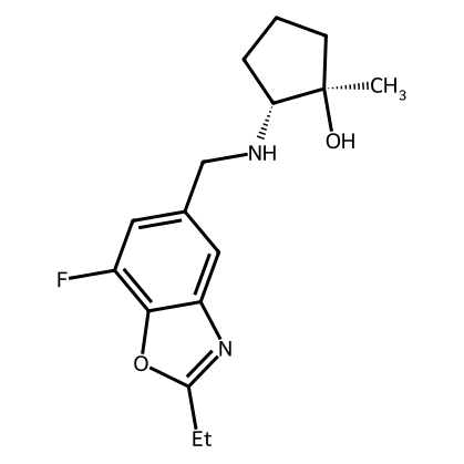 CCc1nc2cc(CN[C@@H]3CCC[C@@]3(C)O)cc(F)c2o1